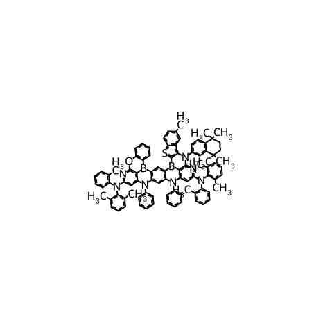 Cc1ccc2sc3c(c2c1)N(c1ccc2c(c1)C(C)(C)CCC2(C)C)c1nc(N(c2ccccc2C)c2c(C)cccc2C)cc2c1B3c1cc3c(cc1N2c1ccccc1)N(c1ccccc1)c1cc(N(c2ccccc2C)c2c(C)cccc2C)nc2c1B3c1ccccc1O2